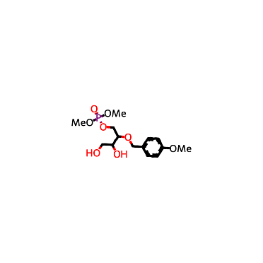 COc1ccc(COC(COP(=O)(OC)OC)C(O)CO)cc1